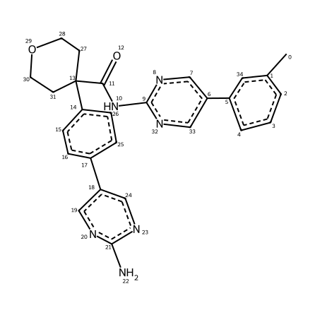 Cc1cccc(-c2cnc(NC(=O)C3(c4ccc(-c5cnc(N)nc5)cc4)CCOCC3)nc2)c1